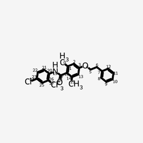 Cc1cc(OCCc2ccccc2)cc(C)c1C(=O)Nc1ccc(Cl)cc1C(F)(F)F